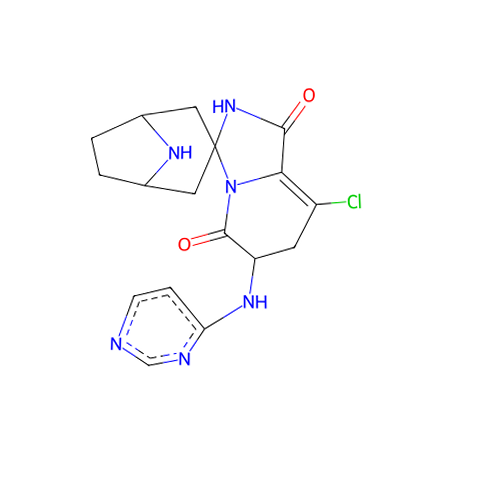 O=C1NC2(CC3CCC(C2)N3)N2C(=O)C(Nc3ccncn3)CC(Cl)=C12